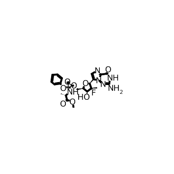 COC(=O)[C@H](C)NP(=O)(OC[C@H]1O[C@@H](c2cnc3c(=O)[nH]c(N)nn23)[C@](C)(F)[C@@H]1O)Oc1ccccc1